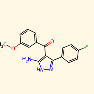 COc1cccc(C(=O)c2c(-c3ccc(F)cc3)n[nH]c2N)c1